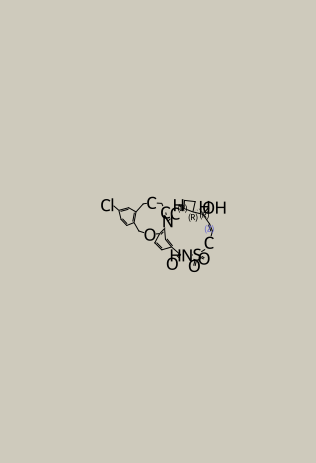 O=C1NS(=O)(=O)CC/C=C\[C@H](O)[C@@H]2CC[C@H]2CN2CCCCc3cc(Cl)ccc3COc3ccc1cc32